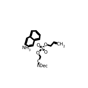 C=CCOS(=O)(=O)OCCCCCCCCCCCC.N.c1ccc2ccccc2c1